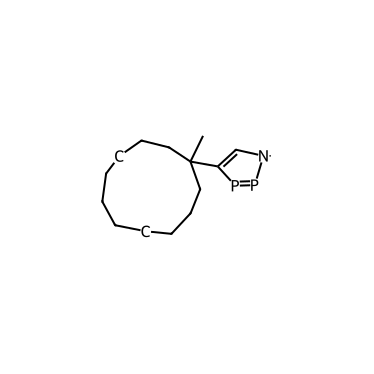 CC1(C2=C[N]P=P2)CCCCCCCCCC1